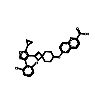 O=C(O)c1ccc2cc(OC3CCC4(C=C(c5c(-c6c(Cl)cccc6Cl)noc5C5CC5)C4)CC3)ccc2n1